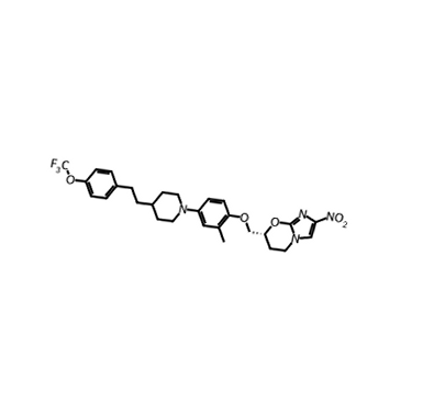 Cc1cc(N2CCC(CCc3ccc(OC(F)(F)F)cc3)CC2)ccc1OC[C@H]1CCn2cc([N+](=O)[O-])nc2O1